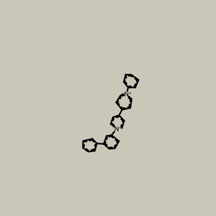 c1ccc(-c2cccc(-[n+]3ccc(-c4cc[n+](-c5ccccc5)cc4)cc3)c2)cc1